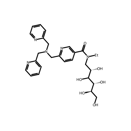 CCN(C[C@H](O)C(O)[C@H](O)[C@H](O)CO)C(=O)c1ccc(CN(Cc2ccccn2)Cc2ccccn2)nc1